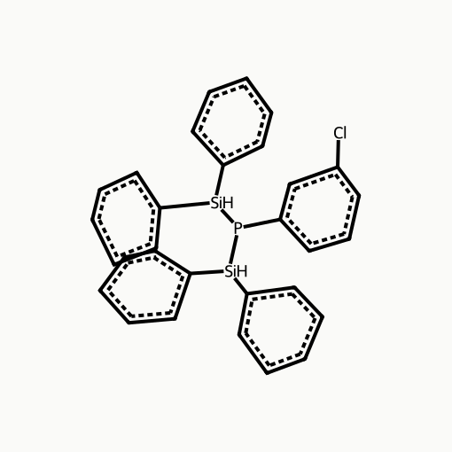 Clc1cccc(P([SiH](c2ccccc2)c2ccccc2)[SiH](c2ccccc2)c2ccccc2)c1